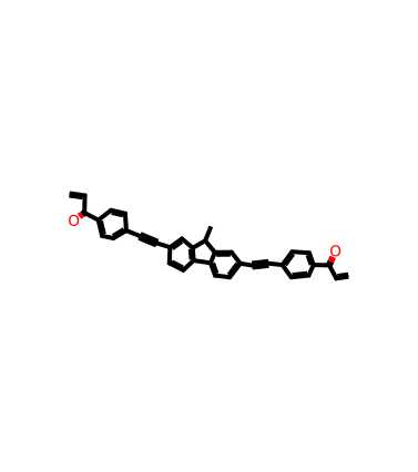 C=CC(=O)c1ccc(C#Cc2ccc3c(c2)C(C)c2cc(C#Cc4ccc(C(=O)C=C)cc4)ccc2-3)cc1